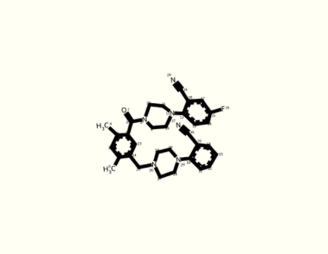 Cc1cc(C)c(C(=O)N2CCN(c3ccc(F)cc3C#N)CC2)cc1CN1CCN(c2ccccc2C#N)CC1